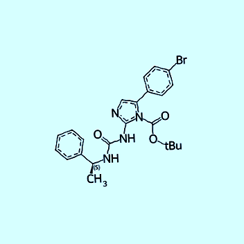 C[C@H](NC(=O)Nc1ncc(-c2ccc(Br)cc2)n1C(=O)OC(C)(C)C)c1ccccc1